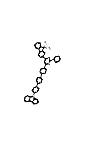 CC1(C)c2ccccc2-c2ccc(-c3cc(-c4ccc(-c5ccc(-c6ccc(-n7c8ccccc8c8ccccc87)cc6)cc5)cc4)nc(-c4ccccc4)n3)cc21